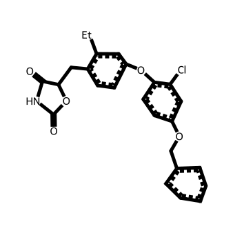 CCc1cc(Oc2ccc(OCc3ccccc3)cc2Cl)ccc1CC1OC(=O)NC1=O